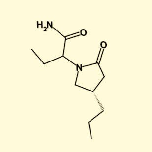 CCC[C@H]1CC(=O)N(C(CC)C(N)=O)C1